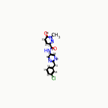 Cn1nc(C(=O)Nc2cnc(Cc3cccc(Cl)c3)nc2)ccc1=O